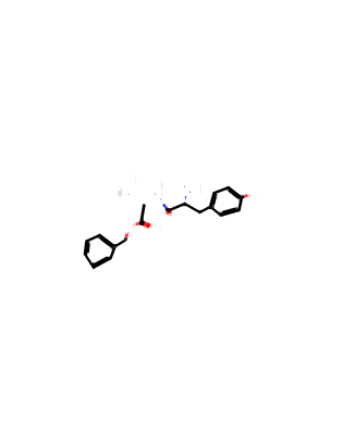 CC[C@H](C)[C@H](NC(=O)[C@@H](N)Cc1ccc(O)cc1)C(=O)OCc1ccccc1.Cl